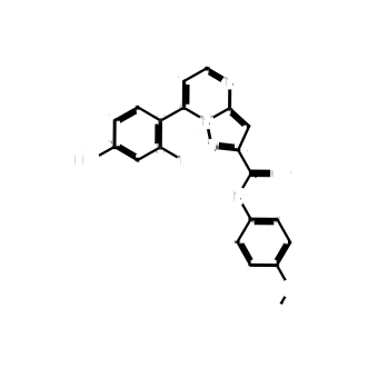 CCOc1ccc(NC(=O)c2cc3nccc(-c4ccc(O)cc4F)n3n2)cc1